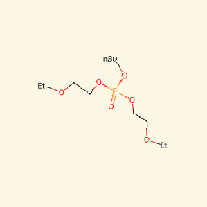 CCCCOP(=O)(OCCOCC)OCCOCC